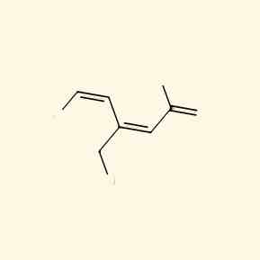 C=C(Cl)/C=C(\C=C/C)CS